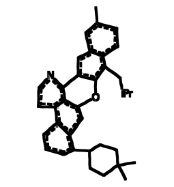 Cc1ccc2c(CC(C)C)c3c(cc2c1)-c1nccc2c1c(cc1c(C4CCC(C)(C)CC4)cccc12)O3